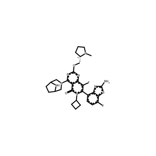 CN1CCC[C@H]1COc1nc(N2CC3CCC(C2)N3)c2c(=O)n(C3CCC3)c(-c3ccc(F)c4sc(N)nc34)c(F)c2n1